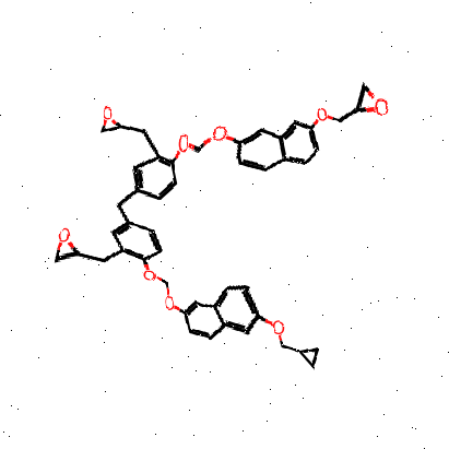 c1cc(OCOc2ccc3cc(OCC4CC4)ccc3c2)c(CC2CO2)cc1Cc1ccc(OCOc2ccc3ccc(OCC4CO4)cc3c2)c(CC2CO2)c1